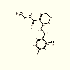 CCOC(=O)C1=CCCCC1SCc1ccc(F)cc1Cl